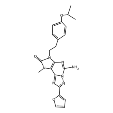 CC(C)Oc1ccc(CCn2c(=O)n(C)c3c2nc(N)n2nc(-c4ccco4)nc32)cc1